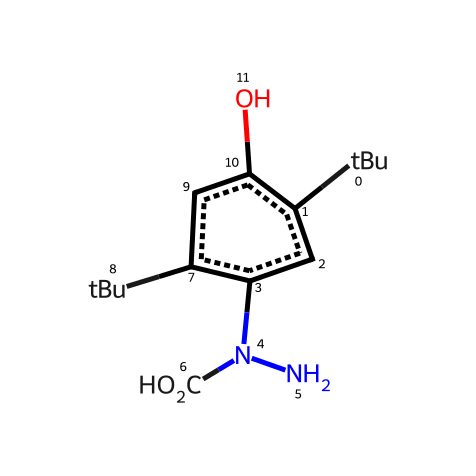 CC(C)(C)c1cc(N(N)C(=O)O)c(C(C)(C)C)cc1O